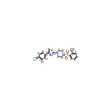 O=S(=O)(c1ccccc1C(F)(F)F)N1CCN(c2nc(-c3ccc(Cl)c(F)c3)cs2)CC1